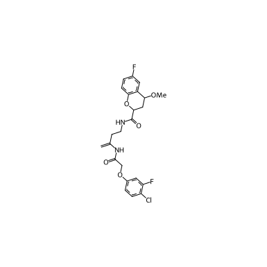 C=C(CCNC(=O)C1CC(OC)c2cc(F)ccc2O1)NC(=O)COc1ccc(Cl)c(F)c1